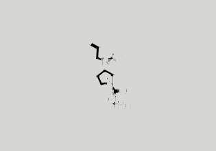 C=CCN(C(C)=O)[C@H]1CCN(C(=O)OC(C)(C)C)C1